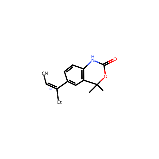 CC/C(=C/C#N)c1ccc2c(c1)C(C)(C)OC(=O)N2